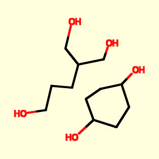 OC1CCC(O)CC1.OCCCC(CO)CO